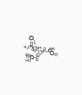 CNC(=O)[C@H](CCCc1ccccc1)NC(=O)C1CN(C(=O)Cc2c[nH]c3cc(Cl)ccc23)CC2CN(C(=O)c3ccc(OC)c(O)c3)CC21